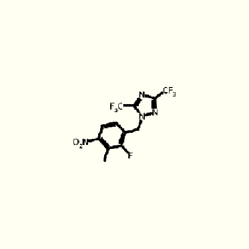 Cc1c([N+](=O)[O-])ccc(Cn2nc(C(F)(F)F)nc2C(F)(F)F)c1F